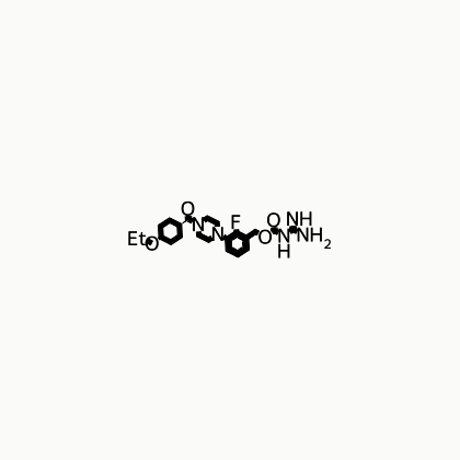 CCO[C@H]1CC[C@H](C(=O)N2CCN(c3cccc(COC(=O)NC(=N)N)c3F)CC2)CC1